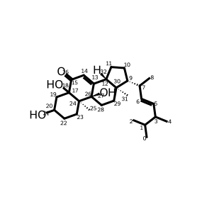 CC(C)C(C)C=CC(C)[C@H]1CC[C@H]2C3=CC(=O)C4(O)CC(O)CC[C@]4(C)[C@@]3(O)CC[C@]12C